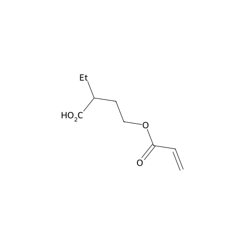 C=CC(=O)OCCC(CC)C(=O)O